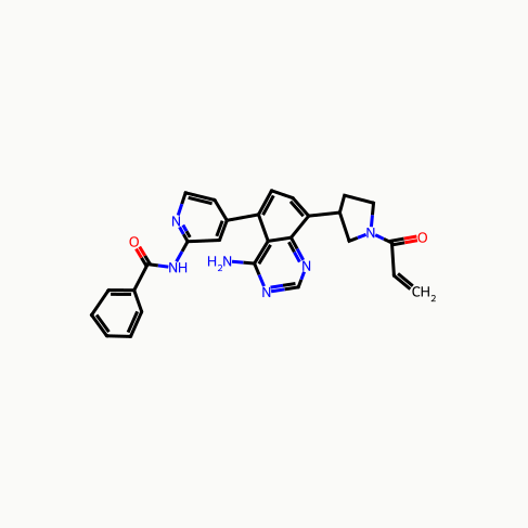 C=CC(=O)N1CCC(c2ccc(-c3ccnc(NC(=O)c4ccccc4)c3)c3c(N)ncnc23)C1